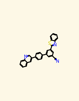 N#Cc1cc(-c2ccc(-c3cnc4ccccc4c3)cc2)cc(-c2nc3ccccc3s2)c1